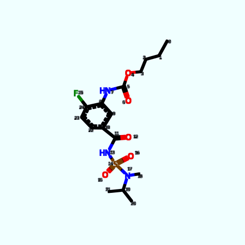 CCCCOC(=O)Nc1cc(C(=O)NS(=O)(=O)N(C)C(C)C)ccc1F